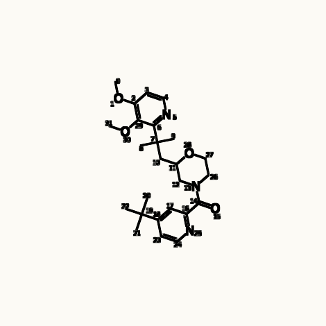 COc1ccnc(C(C)(C)CC2CN(C(=O)c3cc(C(C)(C)C)ccn3)CCO2)c1OC